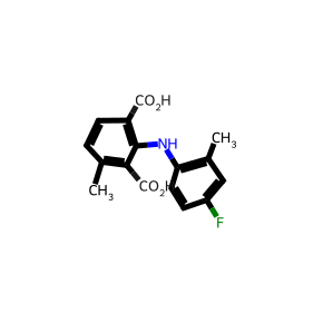 Cc1cc(F)ccc1Nc1c(C(=O)O)ccc(C)c1C(=O)O